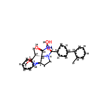 CON=C1CCN(C(=O)c2ccc(-c3ccccc3C)cc2)[C@@]1(C(=O)NO)C(C)c1ccccc1